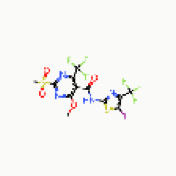 COc1nc(S(C)(=O)=O)nc(C(F)(F)F)c1C(=O)Nc1nc(C(F)(F)F)c(I)s1